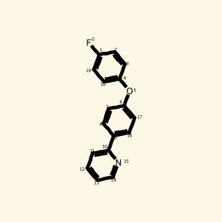 Fc1ccc(Oc2ccc(-c3ccccn3)cc2)cc1